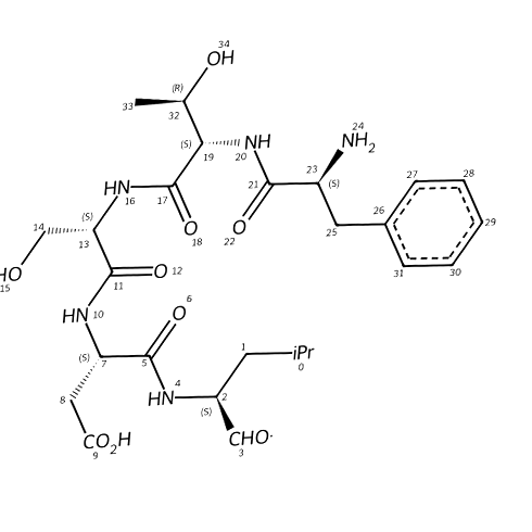 CC(C)C[C@@H]([C]=O)NC(=O)[C@H](CC(=O)O)NC(=O)[C@H](CO)NC(=O)[C@@H](NC(=O)[C@@H](N)Cc1ccccc1)[C@@H](C)O